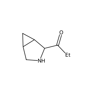 CCC(=O)C1NCC2CC21